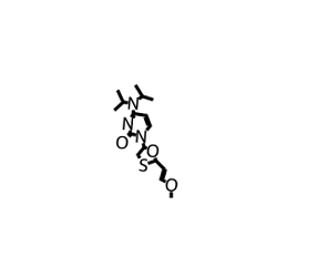 CO/C=C/C1OC(n2ccc(N(C(C)C)C(C)C)nc2=O)CS1